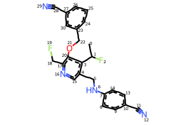 CC(F)c1c(CNc2ccc(C#N)cc2)cnc(CF)c1OCc1cccc(C#N)c1